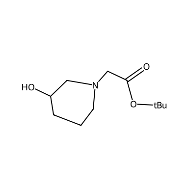 CC(C)(C)OC(=O)CN1CCCC(O)C1